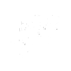 Cc1cc2c3c(c1)C(C)(C)c1cc(N(c4ccccc4)c4ccccc4)ccc1B3c1cccc3c4sc5ccccc5c4n-2c13